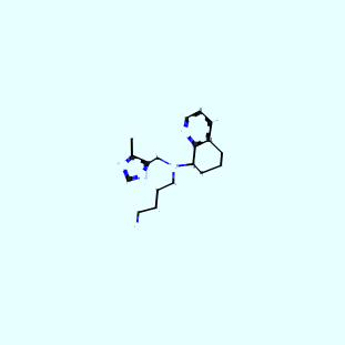 Cc1nc[nH]c1CN(CCCCN)C1CCCc2cccnc21